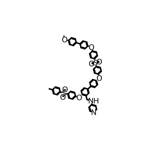 COc1ccc(-c2ccc(Oc3ccc(S(=O)(=O)c4ccc(Oc5ccc(-c6ccc(Oc7ccc(S(=O)(=O)c8ccc(C)cc8)cc7)c(CNc7ccncc7)c6)cc5)cc4)cc3)cc2)cc1